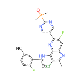 CC[C@@H](Nc1c(Cl)c(C)nc2cc(F)c(-c3cnc(P(C)(C)=O)nc3)nc12)c1cc(C#N)ccc1F